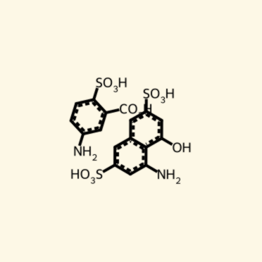 Nc1cc(S(=O)(=O)O)cc2cc(S(=O)(=O)O)cc(O)c12.Nc1ccc(S(=O)(=O)O)c(C(=O)O)c1